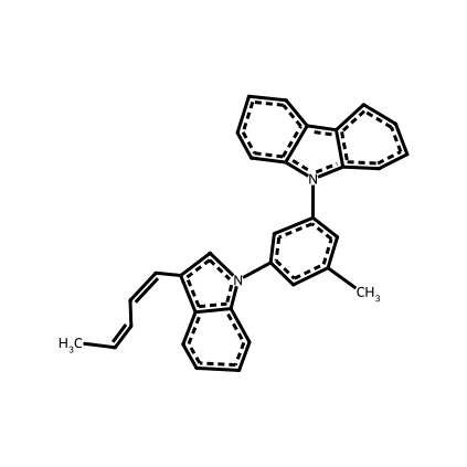 C/C=C\C=C/c1cn(-c2cc(C)cc(-n3c4ccccc4c4ccccc43)c2)c2ccccc12